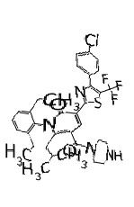 CCc1cccc(CC)c1-n1c(CC(C)C)c(C(=O)N2CCNCC2)cc(-c2nc(-c3ccc(Cl)cc3)c(C(F)(F)F)s2)c1=O